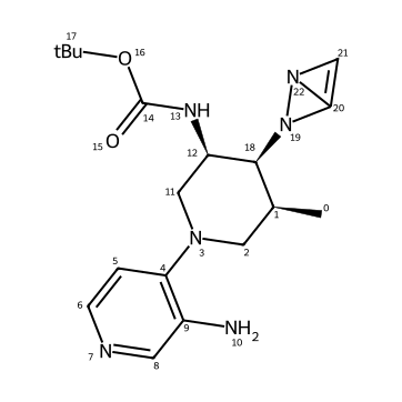 C[C@H]1CN(c2ccncc2N)C[C@@H](NC(=O)OC(C)(C)C)[C@H]1n1c2cn1-2